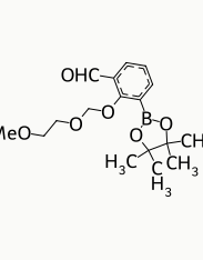 COCCOCOc1c(C=O)cccc1B1OC(C)(C)C(C)(C)O1